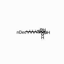 CCCCCCCCCCCCCCCCCCOC[C@H](O)[C@H](O)CO